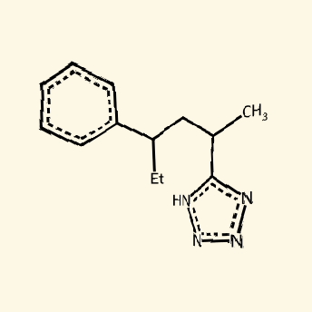 CCC(CC(C)c1nnn[nH]1)c1ccccc1